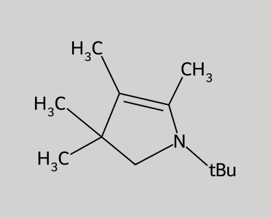 CC1=C(C)C(C)(C)CN1C(C)(C)C